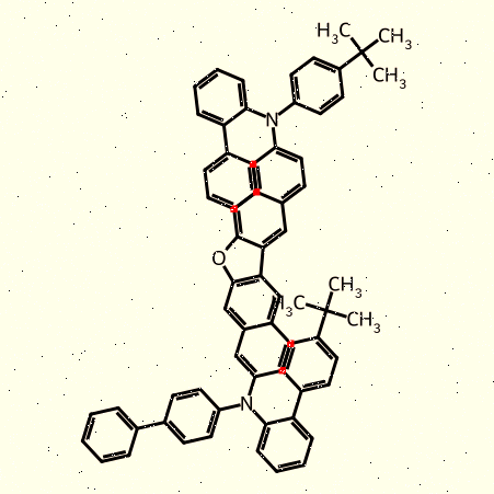 CC(C)(C)c1ccc(-c2ccccc2N(c2ccc(-c3ccccc3)cc2)c2ccc3cc4c(cc3c2)oc2cc3cc(N(c5ccc(C(C)(C)C)cc5)c5ccccc5-c5ccccc5)ccc3cc24)cc1